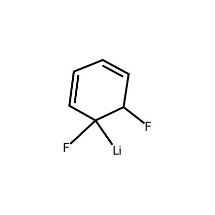 [Li][C]1(F)C=CC=CC1F